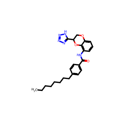 CCCCCCCCc1ccc(C(=O)Nc2cccc3c2OC(c2nnn[nH]2)CO3)cc1